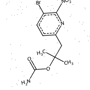 CC(C)(Cc1ccc(Br)c([N+](=O)[O-])n1)OC(N)=O